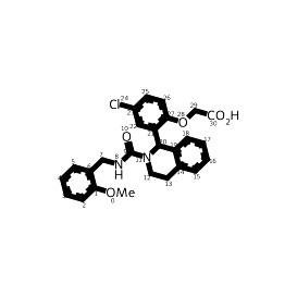 COc1ccccc1CNC(=O)N1CCc2ccccc2C1c1cc(Cl)ccc1OCC(=O)O